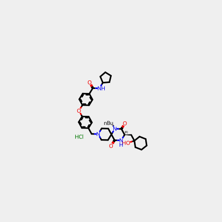 CCCCN1C(=O)[C@@H](CC2(O)CCCCC2)NC(=O)C12CCN(Cc1ccc(Oc3ccc(C(=O)NC4CCCC4)cc3)cc1)CC2.Cl